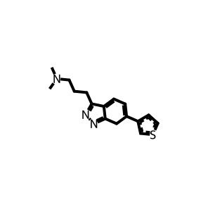 CN(C)CCCC1=NN=C2CC(c3ccsc3)=CC=C12